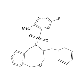 COc1ccc(F)cc1S(=O)(=O)N1Cc2ccccc2COCC1CC1C=CC=CC1